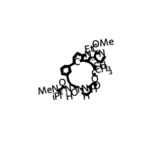 CCn1c([C@@H]2CC=CN=C2COC)c2c3cc(ccc31)-c1cccc(c1)CC(NC(=O)[C@@H](NC)C(C)C)C(=O)N1CCC[C@H](N1)C(=O)OCC(C)(C)C2